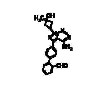 CC1(O)CC(c2nc(-c3ccc(-c4ccccc4C=O)cc3)c3c(N)ncnn23)C1